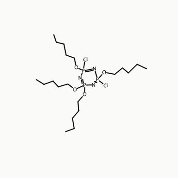 CCCCCOP1(Cl)=NP(Cl)(OCCCCC)=NP(OCCCCC)(OCCCCC)=N1